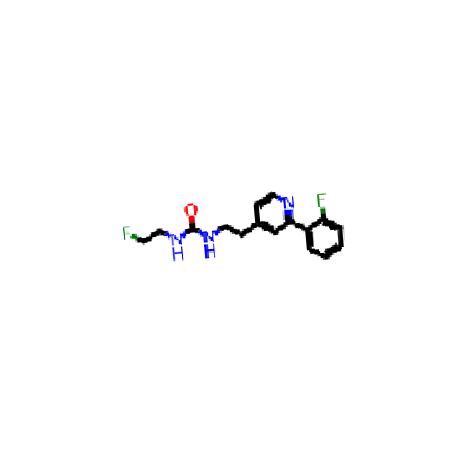 O=C(NCCF)NCCc1ccnc(-c2ccccc2F)c1